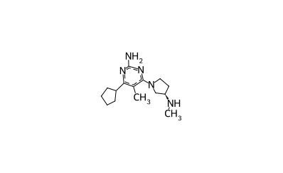 CN[C@@H]1CCN(c2nc(N)nc(C3CCCC3)c2C)C1